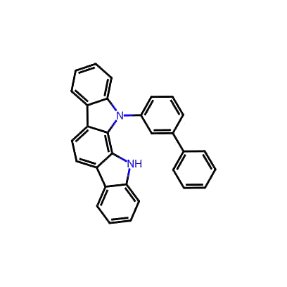 c1ccc(-c2cccc(-n3c4ccccc4c4ccc5c6ccccc6[nH]c5c43)c2)cc1